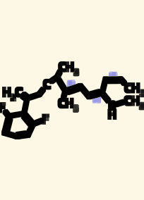 C=C(CCC(C)/C(C)=C/C=C(BC)\C=C/C)c1c(F)cccc1F